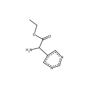 CCOC(=O)C(N)c1cncnc1